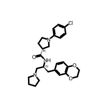 O=C(N[C@@H](Cc1ccc2c(c1)OCCO2)CN1CCCC1)[C@@H]1CCN(c2ccc(Cl)cc2)C1